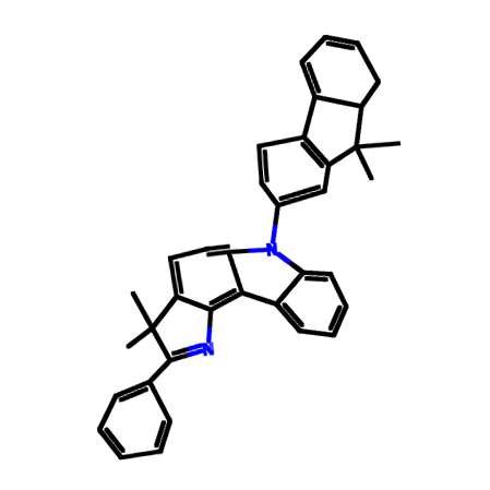 CC1(C)C(c2ccccc2)=Nc2c1ccc1c2c2ccccc2n1-c1ccc2c(c1)C(C)(C)C1CC=CC=C21